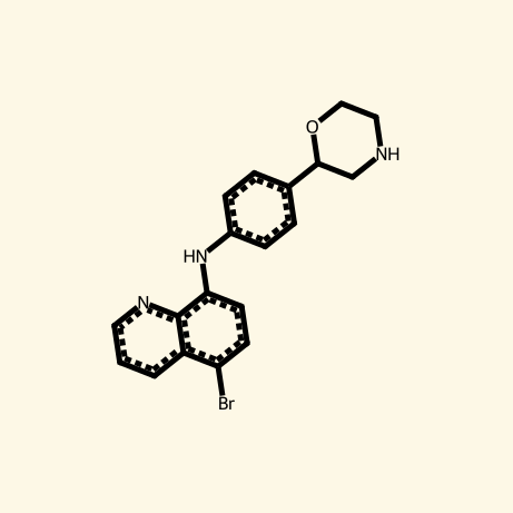 Brc1ccc(Nc2ccc(C3CNCCO3)cc2)c2ncccc12